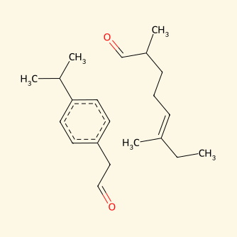 CC(C)c1ccc(CC=O)cc1.CCC(C)=CCCC(C)C=O